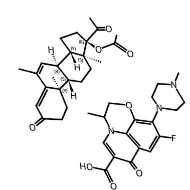 CC(=O)O[C@]1(C(C)=O)CC[C@H]2[C@@H]3C=C(C)C4=CC(=O)CC[C@]4(C)[C@H]3CC[C@@]21C.CC1COc2c(N3CCN(C)CC3)c(F)cc3c(=O)c(C(=O)O)cn1c23